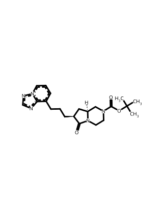 CC(C)(C)OC(=O)N1CCN2C(=O)[C@@H](CCCc3cccn4ncnc34)C[C@H]2C1